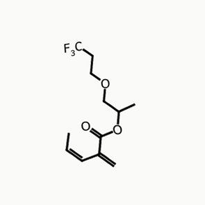 C=C(/C=C\C)C(=O)OC(C)COCCC(F)(F)F